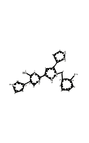 Oc1nc(-c2cc(-c3ccon3)n(Cc3ccccc3F)n2)ncc1-c1ccsc1